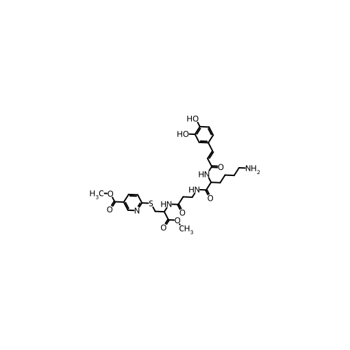 COC(=O)c1ccc(SCC(NC(=O)CCNC(=O)C(CCCCN)NC(=O)/C=C/c2ccc(O)c(O)c2)C(=O)OC)nc1